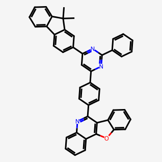 CC1(C)c2ccccc2-c2ccc(-c3cc(-c4ccc(-c5nc6ccccc6c6oc7ccccc7c56)cc4)nc(-c4ccccc4)n3)cc21